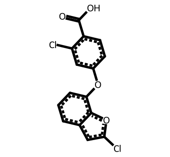 O=C(O)c1ccc(Oc2cccc3cc(Cl)oc23)cc1Cl